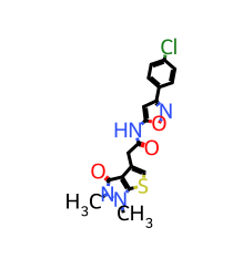 Cn1c(=O)c2c(CC(=O)Nc3cc(-c4ccc(Cl)cc4)no3)csc2n1C